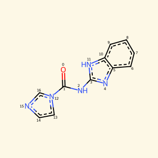 O=C(Nc1nc2ccccc2[nH]1)n1ccnc1